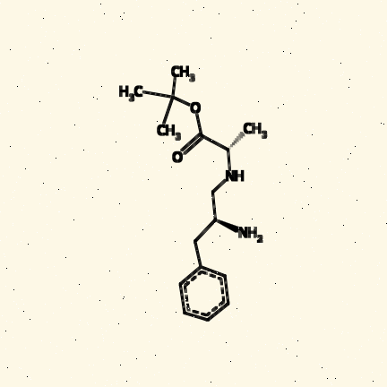 C[C@H](NC[C@@H](N)Cc1ccccc1)C(=O)OC(C)(C)C